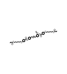 C=CC(=O)OCCCCCCOc1ccc(C(=O)Oc2ccc(/C=N/N=C/c3ccc(OC(=O)c4ccc(OCCCCCCOC(=O)C=C)cc4)c(OCC)c3)cc2)cc1